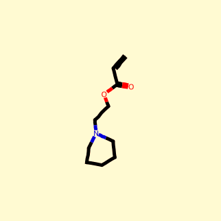 C=CC(=O)OCCN1CCCCC1